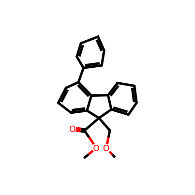 COCC1(C(=O)OC)c2ccccc2-c2c(-c3ccccc3)cccc21